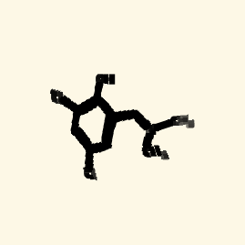 CN(C)Cc1cc(Cl)cc(Cl)c1O